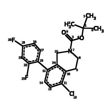 CC(C)(C)OC(=O)N1CCc2c(Cl)ccc(-c3ccc(F)cc3F)c2C1